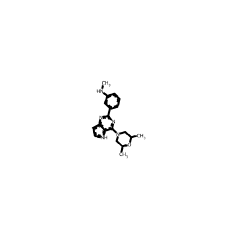 CNc1cccc(-c2nc(N3CC(C)OC(C)C3)c3[nH]ccc3n2)c1